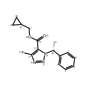 C[C@H](c1ccccc1)n1nnc(F)c1C(=O)OCC1CC1